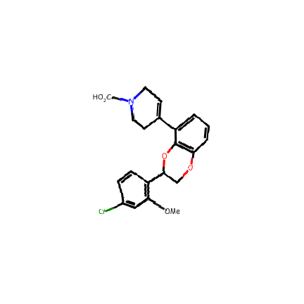 COc1cc(Cl)ccc1C1COc2cccc(C3=CCN(C(=O)O)CC3)c2O1